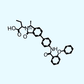 CCC(C(=O)O)N1C(=O)c2cc(-c3ccc(NC(=O)c4ccccc4Oc4ccccc4)cc3)ccc2[C@@H]1C